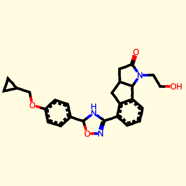 O=C1CC2Cc3c(C4=NOC(c5ccc(OCC6CC6)cc5)N4)cccc3C2N1CCO